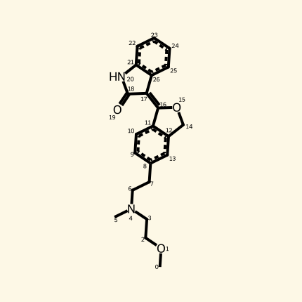 COCCN(C)CCc1ccc2c(c1)COC2=C1C(=O)Nc2ccccc21